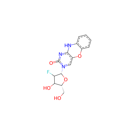 O=c1nc2c(cn1[C@@H]1O[C@H](CO)C(O)C1F)Oc1ccccc1N2